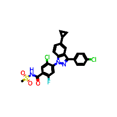 CS(=O)(=O)NC(=O)c1cc(Cl)c(-n2nc(-c3ccc(Cl)cc3)c3cc(C4CC4)ccc32)cc1F